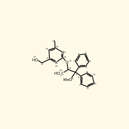 COC(c1ccccc1)(c1ccccc1)C(Oc1nc(C)cc(CO)n1)C(=O)O